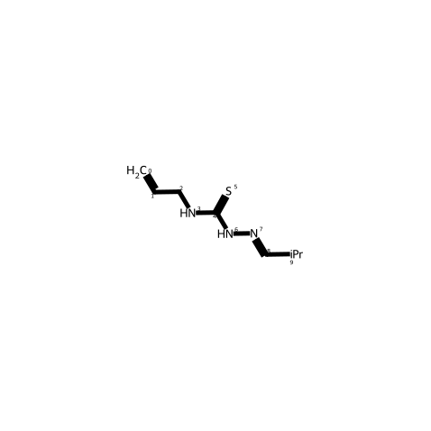 C=CCNC(=S)N/N=C/C(C)C